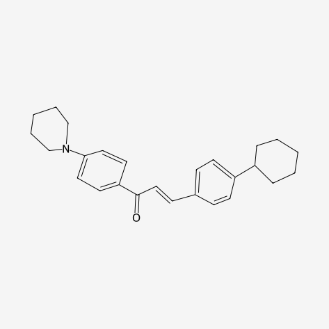 O=C(C=Cc1ccc(C2CCCCC2)cc1)c1ccc(N2CCCCC2)cc1